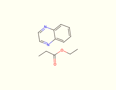 CCOC(=O)CC.c1ccc2nccnc2c1